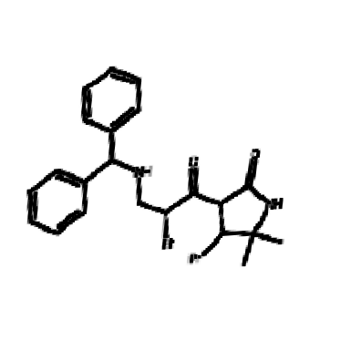 CC[C@@H](CNC(c1ccccc1)c1ccccc1)C(=O)C1C(=O)NC(C)(C)C1C(C)C